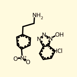 Cl.NCCc1ccc([N+](=O)[O-])cc1.On1nnc2ccccc21